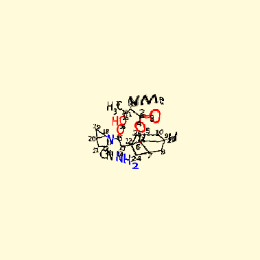 CN[C@H](C(=O)OC12CC3C[C@H](C1)CC([C@H](N)C(=O)N1C4CC4C[C@H]1C#N)(C3)C2)C(C)O